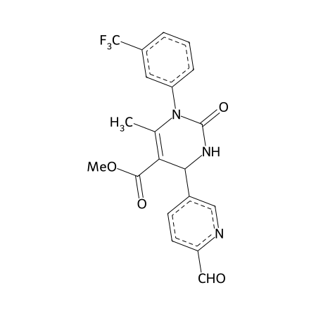 COC(=O)C1=C(C)N(c2cccc(C(F)(F)F)c2)C(=O)NC1c1ccc(C=O)nc1